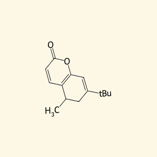 CC1CC(C(C)(C)C)=Cc2oc(=O)ccc21